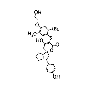 Cc1cc(SC2=C(O)CC(CCc3ccc(O)cc3)(C3CCCC3)OC2=O)c(C(C)(C)C)cc1OCCO